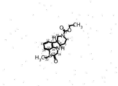 CCOC(=O)N1CC[C@H]2[C@@H](C1)c1cccc3c1N2CC(=O)N3CC